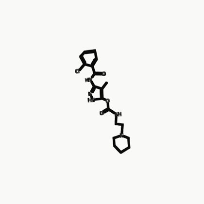 Cc1c(NC(=O)c2ccccc2Cl)n[nH]c1OC(=O)NCCN1CCCCC1